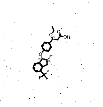 CCO[C@@H](CC(=O)O)c1ccc(O[C@H]2c3cccc(C(F)(F)F)c3C[C@H]2F)cc1